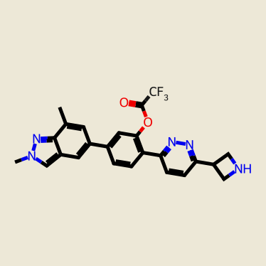 Cc1cc(-c2ccc(-c3ccc(C4CNC4)nn3)c(OC(=O)C(F)(F)F)c2)cc2cn(C)nc12